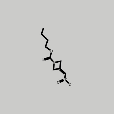 CCCCOC(=O)N1CC(=C[N+](=O)[O-])C1